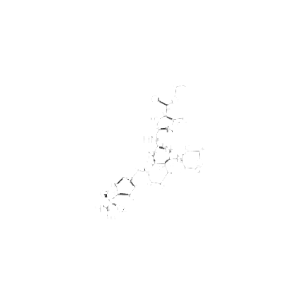 CCOC(=O)c1sc(Nc2nc(N3CCOCC3)c3c(n2)N(Cc2ccc(S(=O)(=O)NC)cc2)CCC3)nc1C